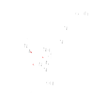 CC(C)OCCN1CCN(CCOc2cc(N3C4CCC3CN(c3cc(-c5ccccc5O)nnc3N)C4)ccn2)CC1